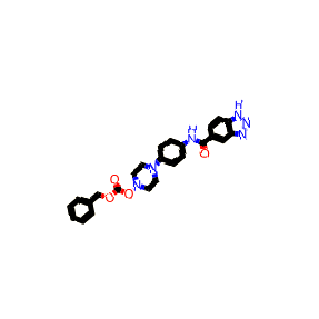 O=C(OCc1ccccc1)ON1CCN(C2CCC(NC(=O)c3ccc4[nH]nnc4c3)CC2)CC1